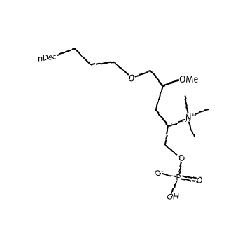 CCCCCCCCCCCCCOCC(CC(COP(=O)([O-])O)[N+](C)(C)C)OC